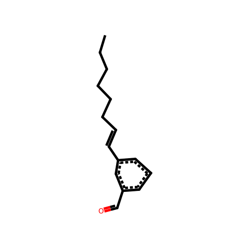 CCCCCCC=Cc1cccc(C=O)c1